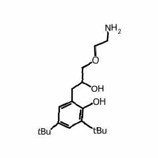 CC(C)(C)c1cc(CC(O)COCCN)c(O)c(C(C)(C)C)c1